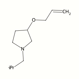 C=CCOC1CCN(C[C](C)C)C1